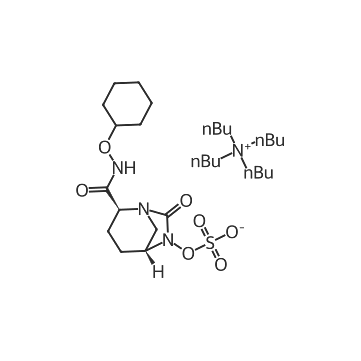 CCCC[N+](CCCC)(CCCC)CCCC.O=C(NOC1CCCCC1)[C@@H]1CC[C@@H]2CN1C(=O)N2OS(=O)(=O)[O-]